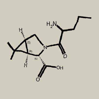 CCCC(N)C(=O)N1C[C@H]2[C@@H]([C@H]1C(=O)O)C2(C)C